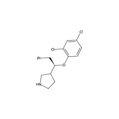 CC(C)C[C@@H](Oc1ccc(Cl)cc1Cl)C1CCNC1